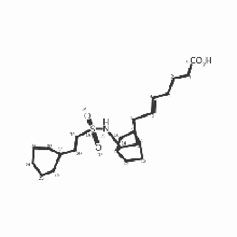 O=C(O)CCCC=CCC1C2CCC(CC2)C1NS(=O)(=O)CCC1CCCCC1